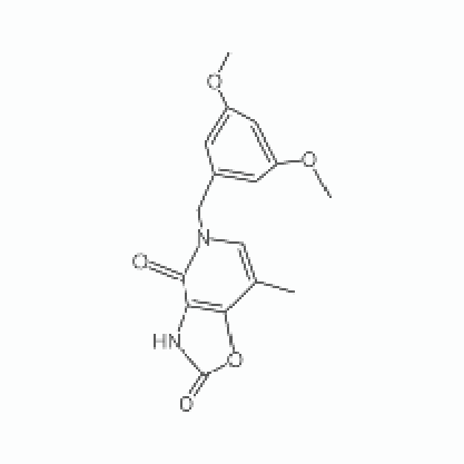 COc1cc(Cn2cc(C)c3oc(=O)[nH]c3c2=O)cc(OC)c1